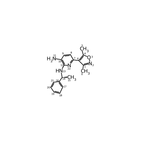 Cc1noc(C)c1-c1ccc(N)c(N[C@@H](C)c2ccccc2)n1